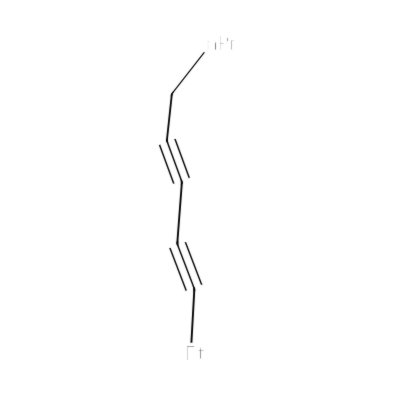 CCC#CC#CCCCC